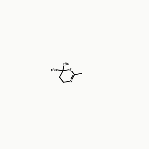 CC1=NCCC(C(C)(C)C)(C(C)(C)C)S1